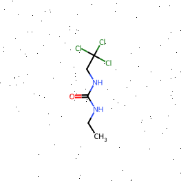 CCNC(=O)NCC(Cl)(Cl)Cl